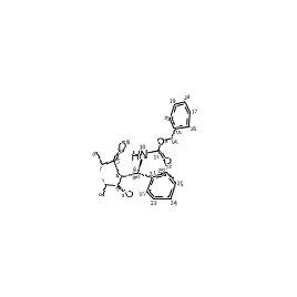 CCC(=O)C(C(=O)CC)[C@@H](NC(=O)OCc1ccccc1)c1ccccc1